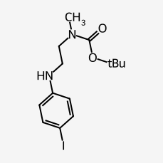 CN(CCNc1ccc(I)cc1)C(=O)OC(C)(C)C